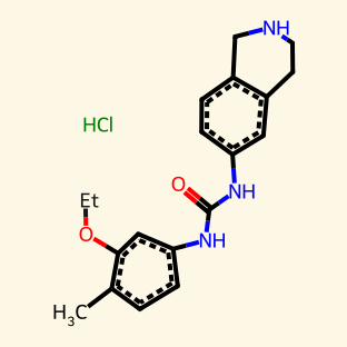 CCOc1cc(NC(=O)Nc2ccc3c(c2)CCNC3)ccc1C.Cl